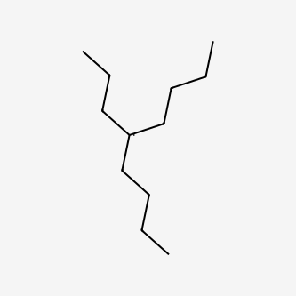 CCCC[C](CCC)CCCC